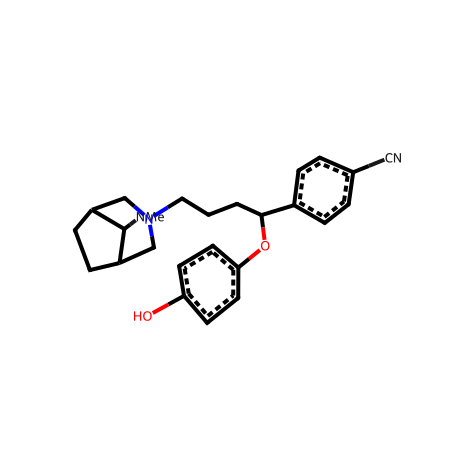 CNC1C2CCC1CN(CCCC(Oc1ccc(O)cc1)c1ccc(C#N)cc1)C2